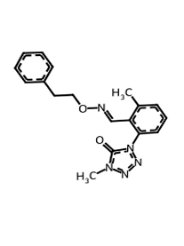 Cc1cccc(-n2nnn(C)c2=O)c1C=NOCCc1ccccc1